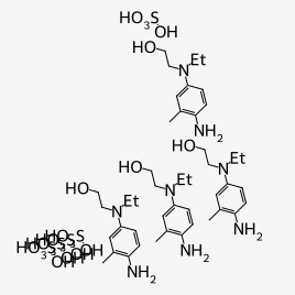 CCN(CCO)c1ccc(N)c(C)c1.CCN(CCO)c1ccc(N)c(C)c1.CCN(CCO)c1ccc(N)c(C)c1.CCN(CCO)c1ccc(N)c(C)c1.O=S(=O)(O)O.O=S(=O)(O)O.O=S(=O)(O)O.O=S(=O)(O)O.O=S(=O)(O)O